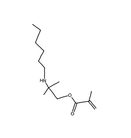 C=C(C)C(=O)OCC(C)(C)NCCCCCC